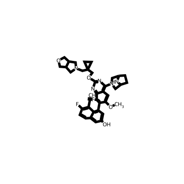 C#Cc1c(F)ccc2cc(O)cc(-c3c(OC)cc4c(N5CC6CCC(C5)N6)nc(OCC5(CN6CC7COCC7C6)CC5)nc4c3F)c12